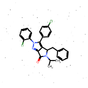 CC(C)N1C(=O)c2nn(-c3ccccc3Cl)c(-c3ccc(Cl)cc3)c2C1Cc1ccccc1